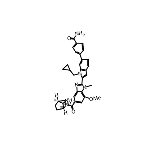 COc1cc(C(=O)N2C[C@H]3CC[C@@H]2[C@@H]3N)cc2nc(-c3cc4ccc(-c5ccc(C(N)=O)cc5)cc4n3CC3CC3)n(C)c12